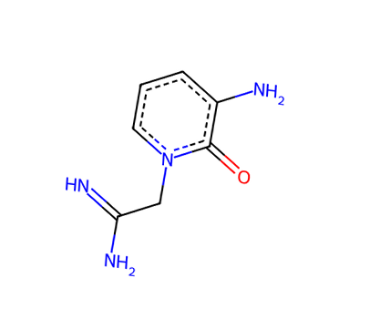 N=C(N)Cn1cccc(N)c1=O